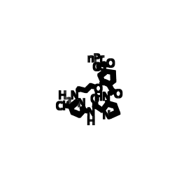 CCCS(=O)(=O)c1ccc(C(=O)Nc2cccnc2C(=O)Nc2ccc(Cl)cn2)c(OCCCN)c1